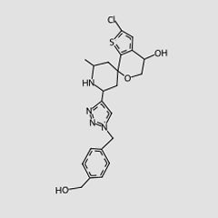 CC1CC2(CC(c3cn(Cc4ccc(CO)cc4)nn3)N1)OCC(O)c1cc(Cl)sc12